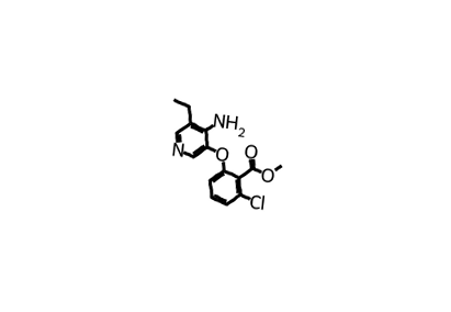 CCc1cncc(Oc2cccc(Cl)c2C(=O)OC)c1N